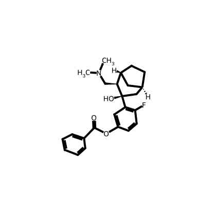 CN(C)C[C@H]1[C@@H]2CC[C@H](C2)C[C@]1(O)c1cc(OC(=O)c2ccccc2)ccc1F